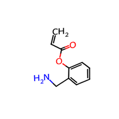 C=CC(=O)Oc1ccccc1CN